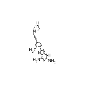 Cc1cc(C#CCN2CCNCC2)ccc1-c1nc2[nH]c(N)nc(N)c-2n1